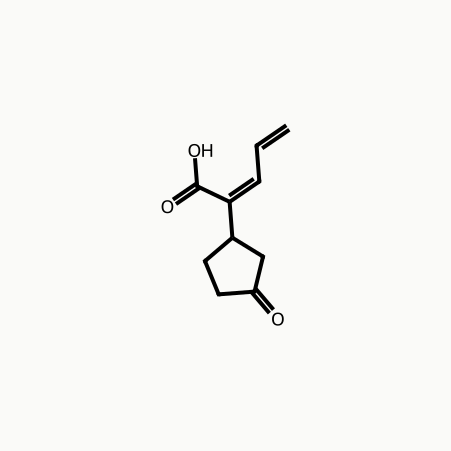 C=CC=C(C(=O)O)C1CCC(=O)C1